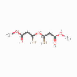 COC(=O)CC(S)OC(S)CC(=O)OC